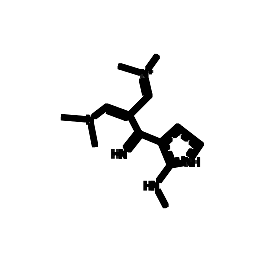 CNc1[nH]ccc1C(=N)/C(C=[N+](C)C)=C\N(C)C